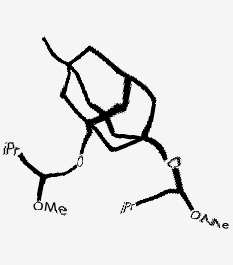 COC(OC12CC3CC(C)(C1)CC(OC(OC)C(C)C)(C3)C2)C(C)C